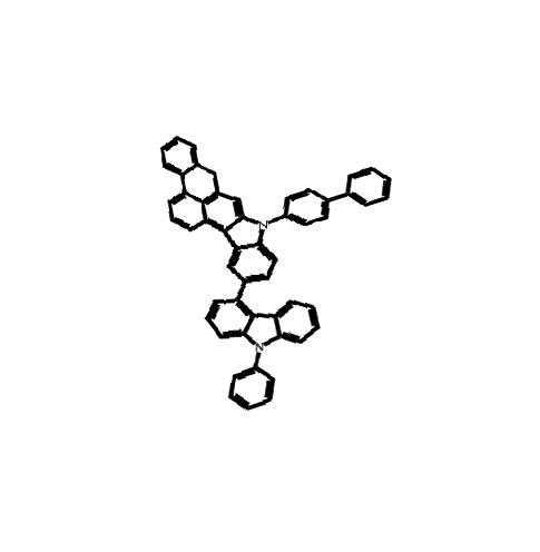 c1ccc(-c2ccc(-n3c4ccc(-c5cccc6c5c5ccccc5n6-c5ccccc5)cc4c4c5cccc6c5c(cc43)Cc3ccccc3-6)cc2)cc1